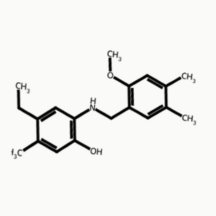 CCc1cc(NCc2cc(C)c(C)cc2OC)c(O)cc1C